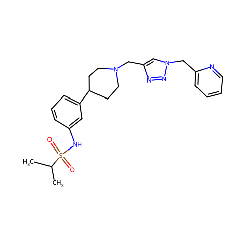 CC(C)S(=O)(=O)Nc1cccc(C2CCN(Cc3cn(Cc4ccccn4)nn3)CC2)c1